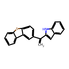 C=C(c1ccc2sc3ccccc3c2c1)c1cc2ccccc2[nH]1